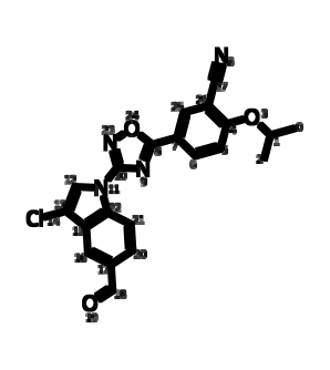 CC(C)Oc1ccc(-c2nc(-n3cc(Cl)c4cc(C=O)ccc43)no2)cc1C#N